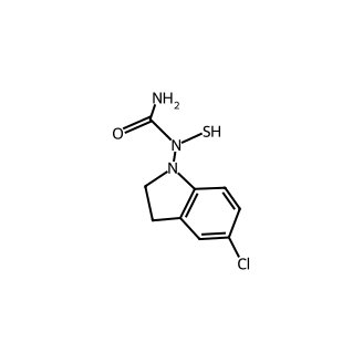 NC(=O)N(S)N1CCc2cc(Cl)ccc21